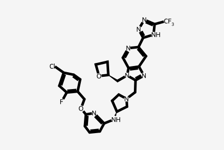 Fc1cc(Cl)ccc1COc1cccc(N[C@@H]2CCN(Cc3nc4cc(-c5nnc(C(F)(F)F)[nH]5)ncc4n3C[C@@H]3CCO3)C2)n1